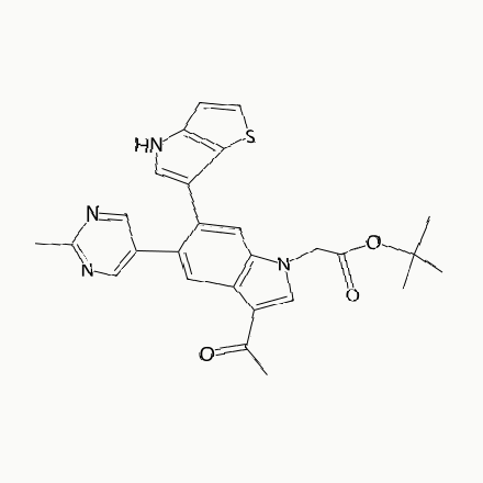 CC(=O)c1cn(CC(=O)OC(C)(C)C)c2cc(-c3c[nH]c4ccsc34)c(-c3cnc(C)nc3)cc12